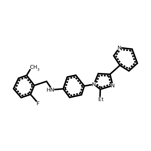 CCc1nc(-c2cccnc2)cn1-c1ccc(NCc2c(C)cccc2F)cc1